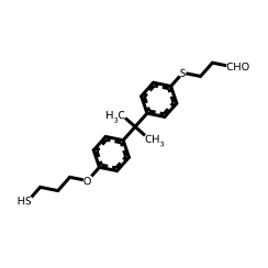 CC(C)(c1ccc(OCCCS)cc1)c1ccc(SCCC=O)cc1